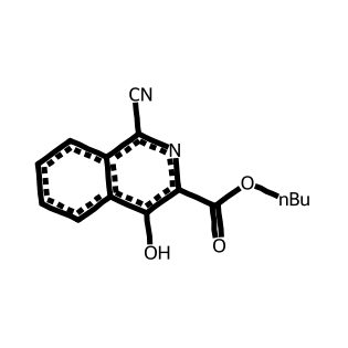 CCCCOC(=O)c1nc(C#N)c2ccccc2c1O